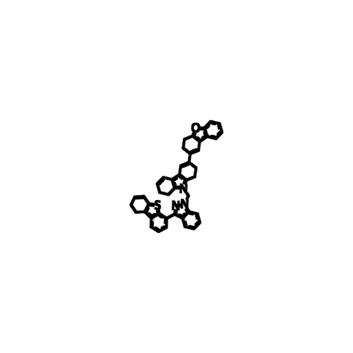 C1=Cc2sc3c(-c4nn(Cn5c6c(c7c5CCC(C5=Cc8c(oc9ccccc89)CC5)=C7)C=CCC6)c5ccccc45)cccc3c2CC1